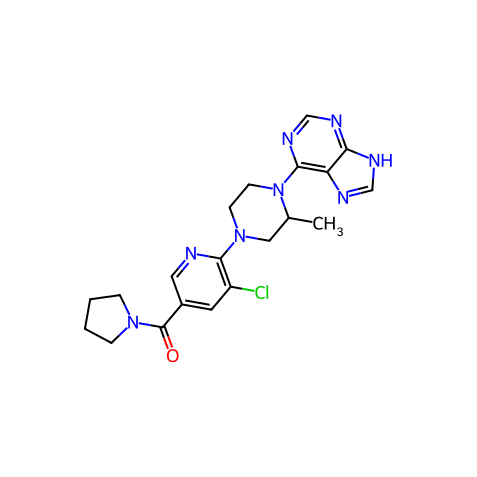 CC1CN(c2ncc(C(=O)N3CCCC3)cc2Cl)CCN1c1ncnc2[nH]cnc12